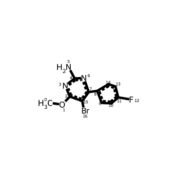 COc1nc(N)nc(-c2ccc(F)cc2)c1Br